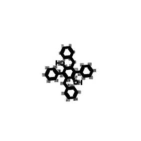 Oc1c(Cc2ccccc2)c(-c2ccccc2)c(O)c(Cc2ccccc2)c1-c1ccccc1